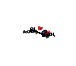 CC(=O)OCC[N+](C)(C)CCCCCCCCCC[N+](C)(C)C(=O)c1ncccc1OC(=O)N(C)C.[Br-].[Br-]